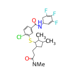 CNC(=O)CCC1CC(C)C(C)C1Sc1cc(C(=O)NC2C=C(F)C(F)=C(F)C2)ccc1Cl